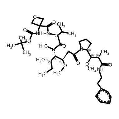 CC[C@H](C)[C@@H]([C@@H](CC(=O)N1CCC[C@H]1[C@H](OC)[C@@H](C)C(=O)NCCc1ccccc1)OC)N(C)C(=O)[C@@H](NC(=O)C1(NC(=O)OC(C)(C)C)COC1)C(C)C